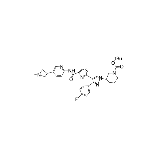 CN1CC(c2ccc(NC(=O)c3csc(-c4cn(C5CCCN(C(=O)OC(C)(C)C)C5)nc4-c4ccc(F)cc4)n3)nc2)C1